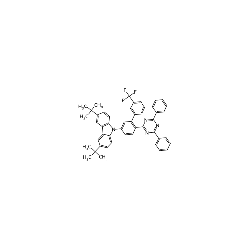 CC(C)(C)c1ccc2c(c1)c1cc(C(C)(C)C)ccc1n2-c1ccc(-c2nc(-c3ccccc3)nc(-c3ccccc3)n2)c(-c2cccc(C(F)(F)F)c2)c1